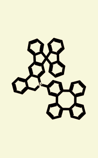 c1ccc2c(c1)CN(c1ccc3c(c1)-c1ccccc1-c1ccccc1-c1ccccc1-3)c1cc3c(cc1-2)-c1ccccc1C31c2ccccc2-c2ccccc21